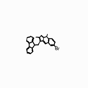 CC1=C(CC2c3ccccc3-c3ccccc32)C2=Cc3cc(Br)ccc3C(C)C2=C1